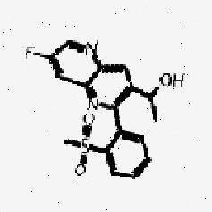 CC(O)c1cc2ncc(F)cc2nc1-c1ccccc1S(C)(=O)=O